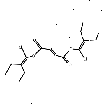 CCC(CC)=C(Cl)OC(=O)/C=C/C(=O)OC(Cl)=C(CC)CC